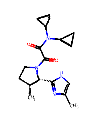 Cc1c[nH]c([C@@H]2[C@@H](C)CCN2C(=O)C(=O)N(C2CC2)C2CC2)n1